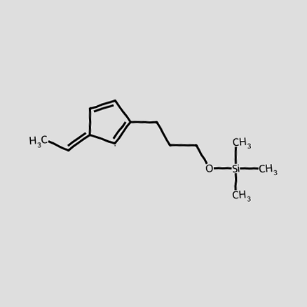 CC=C1[C]=C(CCCO[Si](C)(C)C)C=C1